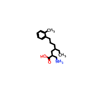 CCC(CCCc1ccccc1C)CC(CN)C(=O)O